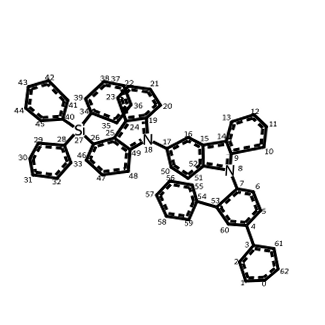 c1ccc(-c2ccc(-n3c4ccccc4c4cc(-n5c6ccccc6c6c([Si](c7ccccc7)(c7ccccc7)c7ccccc7)cccc65)ccc43)c(-c3ccccc3)c2)cc1